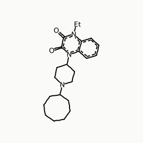 CCn1c(=O)c(=O)n(C2CCN(C3CCCCCCC3)CC2)c2ccccc21